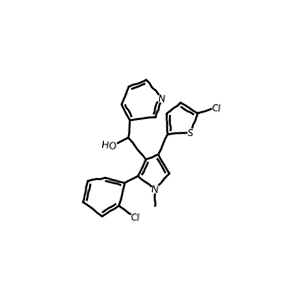 Cn1cc(-c2ccc(Cl)s2)c(C(O)c2cccnc2)c1-c1ccccc1Cl